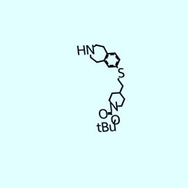 CC(C)(C)OC(=O)N1CCC(CCSc2ccc3c(c2)CCNCC3)CC1